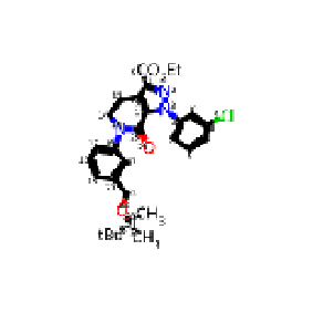 CCOC(=O)c1nn(-c2cccc(Cl)c2)c2c1CCN(c1cccc(CO[Si](C)(C)C(C)(C)C)c1)C2=O